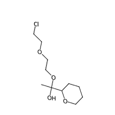 CC(O)(OCCOCCCl)C1CCCCO1